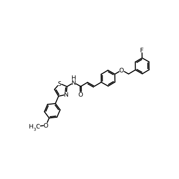 COc1ccc(-c2csc(NC(=O)/C=C/c3ccc(OCc4cccc(F)c4)cc3)n2)cc1